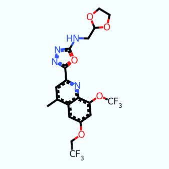 Cc1cc(-c2nnc(NCC3OCCO3)o2)nc2c(OC(F)(F)F)cc(OCC(F)(F)F)cc12